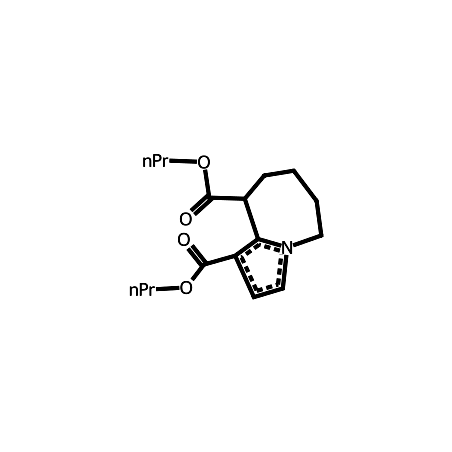 CCCOC(=O)c1ccn2c1C(C(=O)OCCC)CCCC2